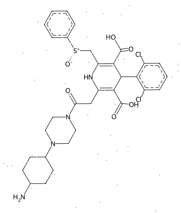 NC1CCC(N2CCN(C(=O)CC3=C(C(=O)O)C(c4c(Cl)cccc4Cl)C(C(=O)O)=C(C[S@+]([O-])c4ccccc4)N3)CC2)CC1